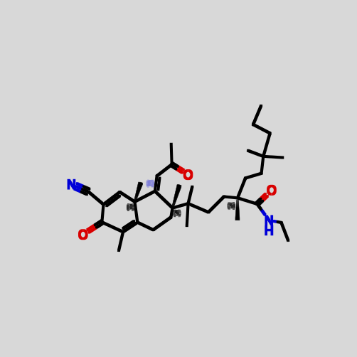 CCCC(C)(C)CC[C@@](C)(CCC(C)(C)[C@]1(C)CCC2=C(C)C(=O)C(C#N)=C[C@]2(C)/C1=C/C(C)=O)C(=O)NCC